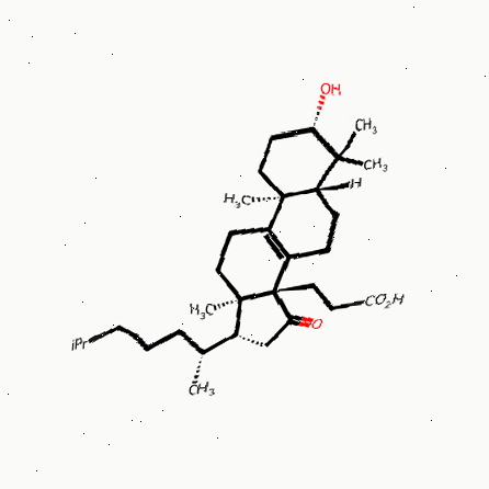 CC(C)CCC[C@@H](C)[C@H]1CC(=O)[C@@]2(CCC(=O)O)C3=C(CC[C@]12C)[C@@]1(C)CC[C@H](O)C(C)(C)[C@@H]1CC3